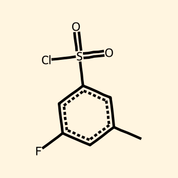 Cc1cc(F)cc(S(=O)(=O)Cl)c1